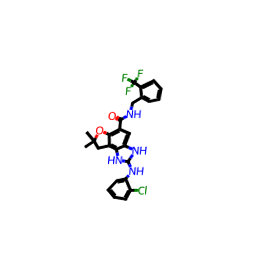 CC1(C)Cc2c3c(cc(C(=O)NCc4ccccc4C(F)(F)F)c2O1)NC(Nc1ccccc1Cl)N3